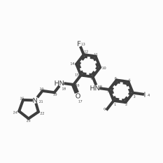 Cc1cc(I)ccc1Nc1ccc(F)cc1C(=O)NCCN1CCCC1